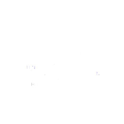 CC1(N)CC1CC1CC1C#N